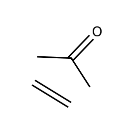 C=C.CC(C)=O